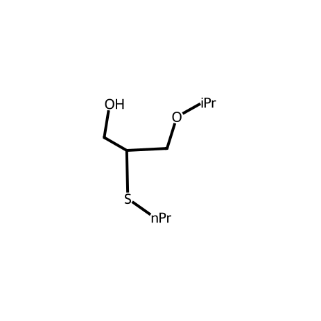 CCCSC(CO)COC(C)C